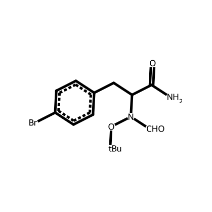 CC(C)(C)ON(C=O)C(Cc1ccc(Br)cc1)C(N)=O